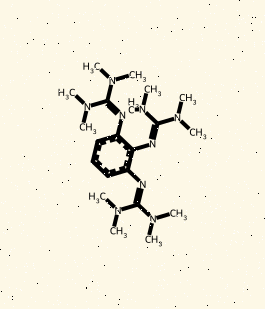 CN(C)C(=Nc1cccc(N=C(N(C)C)N(C)C)c1N=C(N(C)C)N(C)C)N(C)C